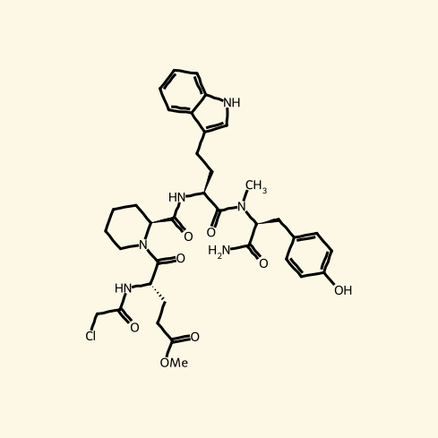 COC(=O)CC[C@H](NC(=O)CCl)C(=O)N1CCCC[C@H]1C(=O)N[C@@H](CCc1c[nH]c2ccccc12)C(=O)N(C)[C@@H](Cc1ccc(O)cc1)C(N)=O